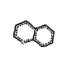 [c]1cccc2ncccc12